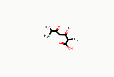 CC(C)C(=O)CC(=O)C(C)C(=O)O.[Ir]